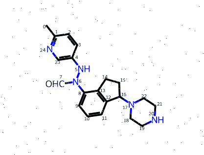 Cc1ccc(NN(C=O)c2cccc3c2CCC3N2CCNCC2)cn1